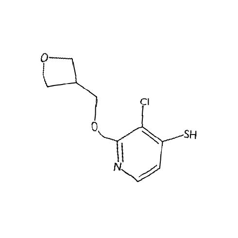 Sc1ccnc(OCC2COC2)c1Cl